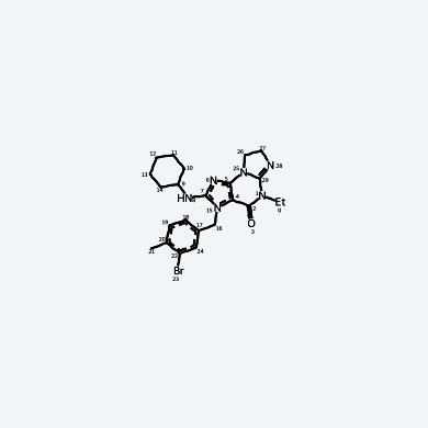 CCN1C(=O)c2c(nc(NC3CCCCC3)n2Cc2ccc(C)c(Br)c2)N2CCN=C12